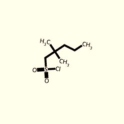 CCCC(C)(C)CS(=O)(=O)Cl